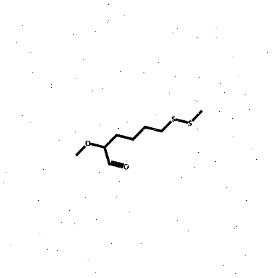 COC(C=O)CCCCSSC